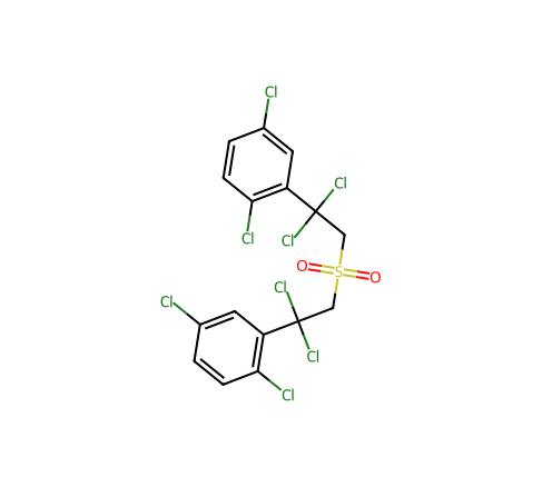 O=S(=O)(CC(Cl)(Cl)c1cc(Cl)ccc1Cl)CC(Cl)(Cl)c1cc(Cl)ccc1Cl